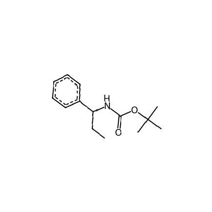 CCC(NC(=O)OC(C)(C)C)c1ccccc1